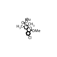 COC(=O)c1cc(Cl)ccc1C1=CC(C)N(C(=O)OC(C)(C)C)C(C)C1